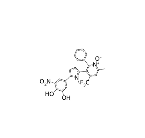 Cc1cc(C(F)(F)F)c(-c2ccc(-c3cc(O)c(O)c([N+](=O)[O-])c3)n2C)c(-c2ccccc2)[n+]1[O-]